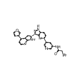 CC(C)CC(=O)Nc1cncc(-c2ccc3[nH]nc(-c4cc5c(-c6ccoc6)ccnc5[nH]4)c3n2)c1